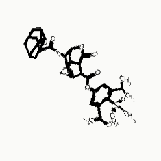 CC(C)c1cc(OC(=O)C2C3OC4C(OC(=O)C42)C3OC(=O)C23CC4CC(C2)C(=O)C(C4)C3)cc(C(C)C)c1S(C)(=O)=O